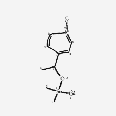 CC(O[Si](C)(C)C(C)(C)C)c1cc[n+]([O-])cc1